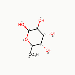 O=C(O)C1O[C@@H](O)C(O)[C@H](O)[C@@H]1O